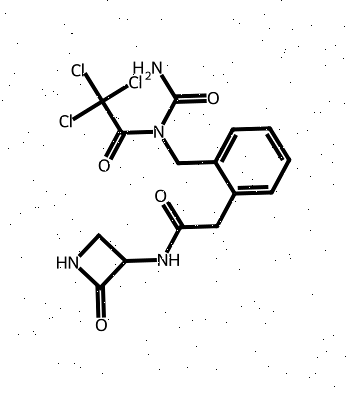 NC(=O)N(Cc1ccccc1CC(=O)NC1CNC1=O)C(=O)C(Cl)(Cl)Cl